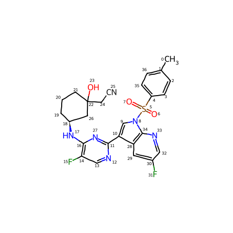 Cc1ccc(S(=O)(=O)n2cc(-c3ncc(F)c(N[C@H]4CCCC(O)(CC#N)C4)n3)c3cc(F)cnc32)cc1